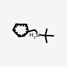 CC(C)(C)[SiH2]Cc1ccccc1